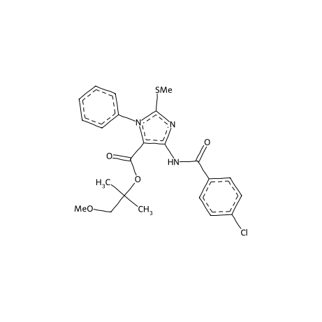 COCC(C)(C)OC(=O)c1c(NC(=O)c2ccc(Cl)cc2)nc(SC)n1-c1ccccc1